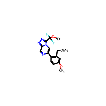 CCOC(F)(F)c1nnc2cnc(-c3ccc(OC(F)(F)F)cc3COC)cn12